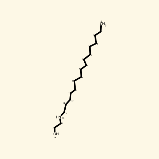 CCCCCCCCCCCCCCCCNCCO